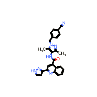 Cc1nn(Cc2ccc(C#N)cc2)c(C)c1NC(=O)c1cc(-c2cc[nH]n2)nc2ccccc12